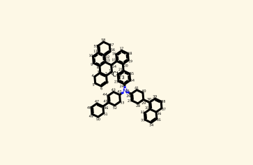 CC1C2=C(CCC=C2)c2ccc3c(c2C1c1ccccc1-c1ccc(N(C2=CCC(C4=C5C=CC=CC5CC=C4)CC2)C2CC=C(C4=CC=CCC4)CC2)cc1)=CCCC=3